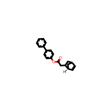 O=C(CC1CC2C=C[C@@H]1C2)Oc1ccc(-c2ccccc2)cc1